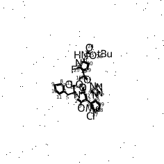 COc1cn(C(Cc2ccccc2)C(=O)OCC(=O)c2ccc(NC(=O)OC(C)(C)C)nc2F)c(=O)cc1-c1cc(Cl)ccc1-n1cnnn1